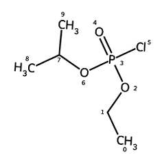 CCOP(=O)(Cl)OC(C)C